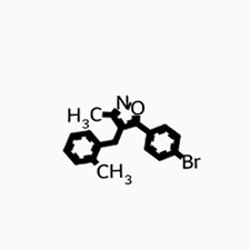 Cc1ccccc1Cc1c(C)noc1-c1ccc(Br)cc1